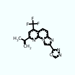 C=C(C)c1cc(C(F)(F)F)c2ccc3nc(-c4nnco4)cn3c2n1